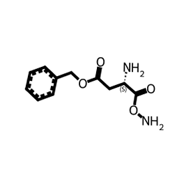 NOC(=O)[C@@H](N)CC(=O)OCc1ccccc1